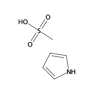 CS(=O)(=O)O.c1cc[nH]c1